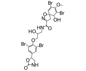 COC1=C(Br)C(O)C2(C=C1Br)CC(C(=O)NCC(O)COc1c(Br)cc(C3CNC(=O)O3)cc1Br)=NO2